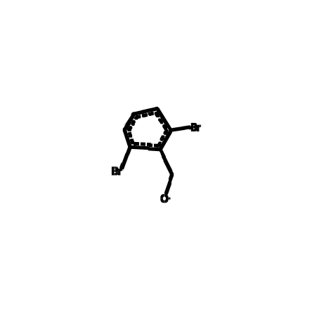 [O]Cc1c(Br)cccc1Br